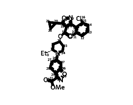 CC[C@@H]1C[C@H](OC(=O)c2c(-c3c(Cl)cccc3Cl)noc2C2CC2)CCN1c1ccc2c(C(=O)OC)noc2c1